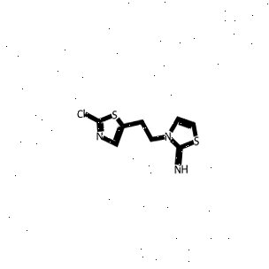 N=c1sccn1CCc1cnc(Cl)s1